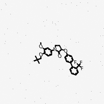 COc1cc(N2CCC(Oc3ccc(-c4ccccc4C(F)(F)F)cc3)C2=O)ccc1OCC(C)(C)C